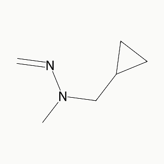 C=NN(C)CC1CC1